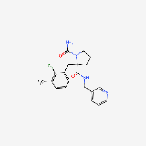 NC(=O)N1CCCC1(Cc1cccc(C(F)(F)F)c1Cl)C(=O)NCc1cccnc1